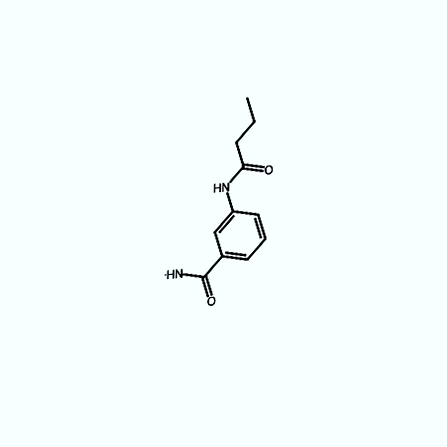 CCCC(=O)Nc1cccc(C([NH])=O)c1